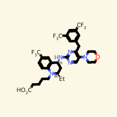 CC[C@@H]1C[C@H](Nc2ncc(N3CCOCC3)c(Cc3cc(C(F)(F)F)cc(C(F)(F)F)c3)n2)c2cc(C(F)(F)F)ccc2N1CCCCC(=O)O